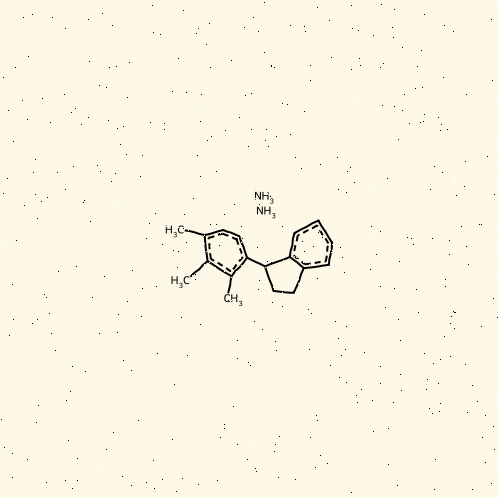 Cc1ccc(C2CCc3ccccc32)c(C)c1C.N.N